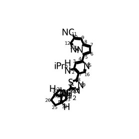 CC(C)Nc1cc(-c2ccc3cc(C#N)cnn23)ncc1-c1nnc(N2C[C@H]3CC[C@@H](C2)[C@H]3N)s1